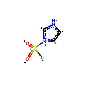 O=S(=O)(Cl)[n+]1cc[nH]c1